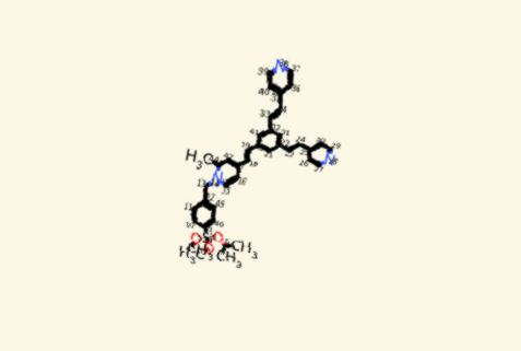 CO[Si](OC)(OC(C)C)c1ccc(CN2C=CC(/C=C/c3cc(/C=C/c4ccncc4)cc(/C=C/c4ccncc4)c3)=CC2C)cc1